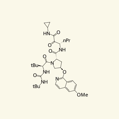 CCC[C@H](NC(=O)[C@@H]1C[C@@H](Oc2nccc3cc(OC)ccc23)CN1C(=O)[C@@H](NC(=O)NC(C)(C)C)C(C)(C)C)C(=O)C(=O)NC1CC1